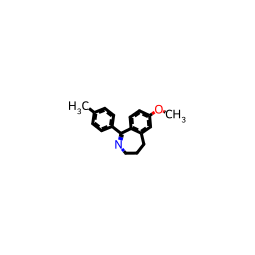 COc1ccc2c(c1)CCCN=C2c1ccc(C)cc1